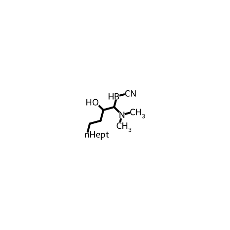 CCCCCCCCCC(O)C(BC#N)N(C)C